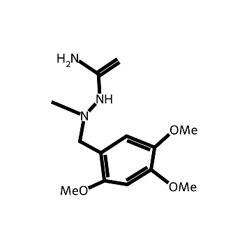 C=C(N)NN(C)Cc1cc(OC)c(OC)cc1OC